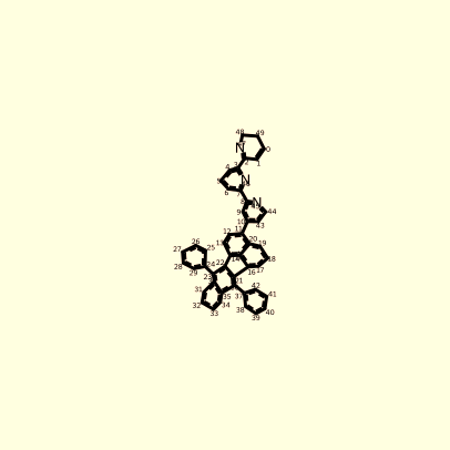 C1=CC(c2cccc(-c3cc(-c4ccc5c6c(cccc46)-c4c-5c(-c5ccccc5)c5ccccc5c4-c4ccccc4)ccn3)n2)=NCC1